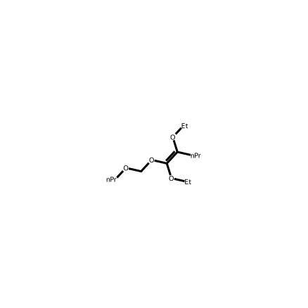 CCCOCOC(OCC)=C(CCC)OCC